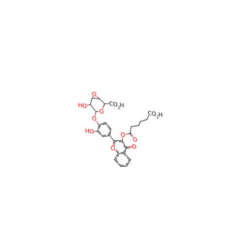 O=C(O)CCCCC(=O)Oc1c(-c2ccc(OC3OC(C(=O)O)C4OC4C3O)c(O)c2)oc2ccccc2c1=O